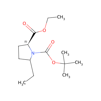 CCOC(=O)[C@@H]1CCC(CC)N1C(=O)OC(C)(C)C